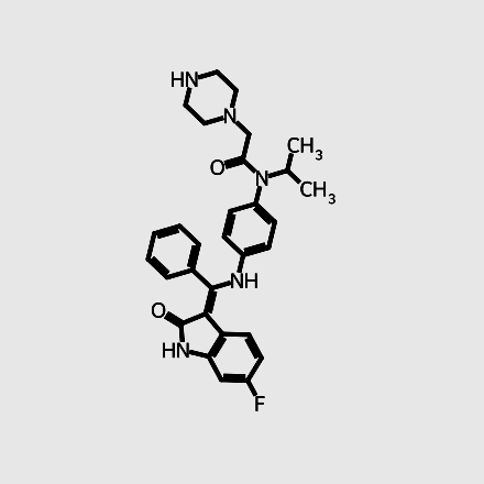 CC(C)N(C(=O)CN1CCNCC1)c1ccc(NC(=C2C(=O)Nc3cc(F)ccc32)c2ccccc2)cc1